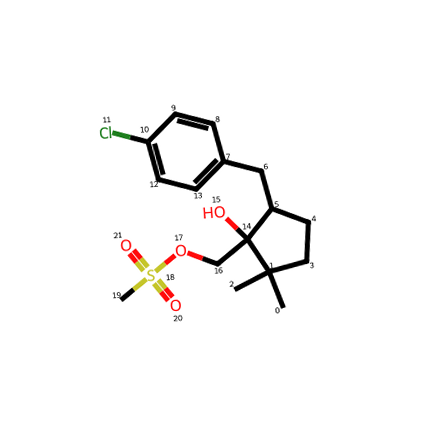 CC1(C)CCC(Cc2ccc(Cl)cc2)C1(O)COS(C)(=O)=O